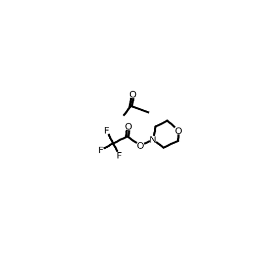 CC(C)=O.O=C(ON1CCOCC1)C(F)(F)F